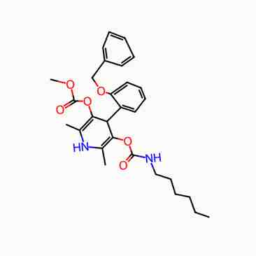 CCCCCCNC(=O)OC1=C(C)NC(C)=C(OC(=O)OC)C1c1ccccc1OCc1ccccc1